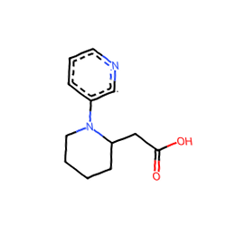 O=C(O)CC1CCCCN1c1[c]nccc1